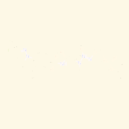 Cc1ccc(-c2cc(C(F)(F)F)nn2-c2ccc(S(=O)(=O)NC(=O)C(C)(C)N(C)[N+]([O-])=NOC(C)OC(=O)OC(C)C)cc2)cc1